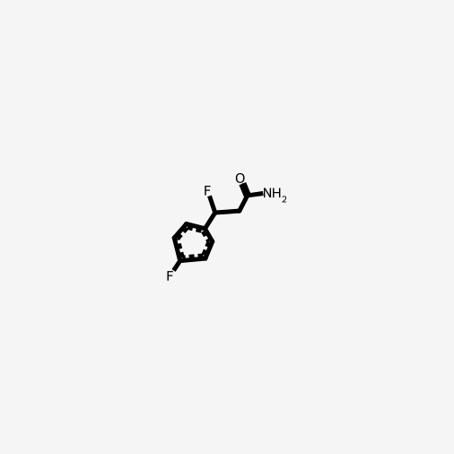 NC(=O)CC(F)c1ccc(F)cc1